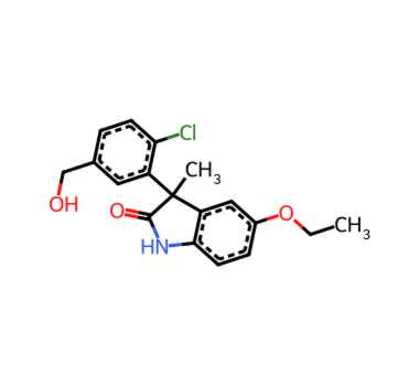 CCOc1ccc2c(c1)C(C)(c1cc(CO)ccc1Cl)C(=O)N2